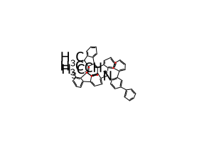 CC1(C)c2ccccc2-c2ccc(N(c3ccc(-c4ccccc4)cc3-c3ccccc3)c3ccccc3-c3cccc4c3-c3ccccc3C4(C)C)cc21